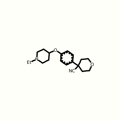 CCN1CCC(Oc2ccc(C3(C#N)CCOCC3)cc2)CC1